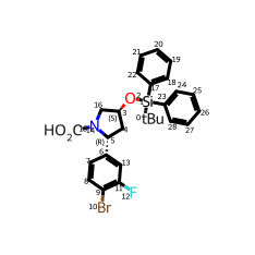 CC(C)(C)[Si](O[C@H]1C[C@H](c2ccc(Br)c(F)c2)N(C(=O)O)C1)(c1ccccc1)c1ccccc1